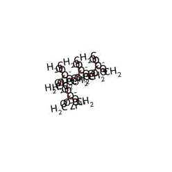 C=CC(=O)OCCCC([O-])(CCCOC(=O)C=C)CCCOC(=O)C=C.C=CC(=O)OCCCC([O-])(CCCOC(=O)C=C)CCCOC(=O)C=C.C=CC(=O)OCCCC([O-])(CCCOC(=O)C=C)CCCOC(=O)C=C.C=CC(=O)OCCCC([O-])(CCCOC(=O)C=C)CCCOC(=O)C=C.[Zr+4]